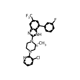 C[C@@H]1CN(c2ncccc2Cl)CCN1c1nc2cc(C(F)(F)F)cc(-c3cccc(F)c3)c2[nH]1